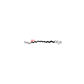 CCCCCCCC(O)CCCCCCCCCCCCCC(=O)O